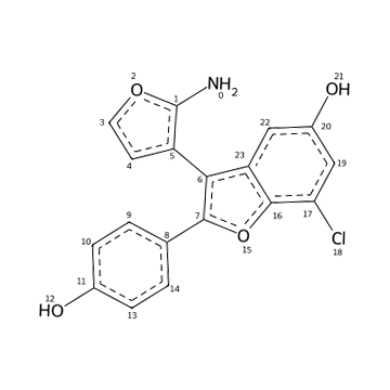 Nc1occc1-c1c(-c2ccc(O)cc2)oc2c(Cl)cc(O)cc12